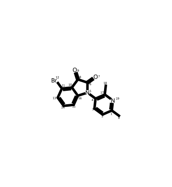 Cc1ccc(N2C(=O)C(=O)c3c(Br)cccc32)c(C)n1